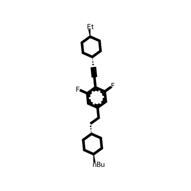 CCCC[C@H]1CC[C@H](CCc2cc(F)c(C#C[C@H]3CC[C@H](CC)CC3)c(F)c2)CC1